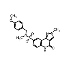 COc1ccc(CN(C)S(=O)(=O)c2ccc3[nH]c(=O)c4cn(C)nc4c3c2)cc1